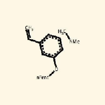 C=Cc1cccc(OCCCCC)c1.CNC